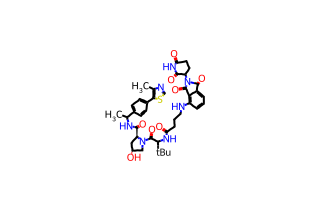 Cc1ncsc1-c1ccc(C(C)NC(=O)[C@@H]2C[C@@H](O)CN2C(=O)C(NC(=O)CCCNc2cccc3c2C(=O)N(C2CCC(=O)NC2=O)C3=O)C(C)(C)C)cc1